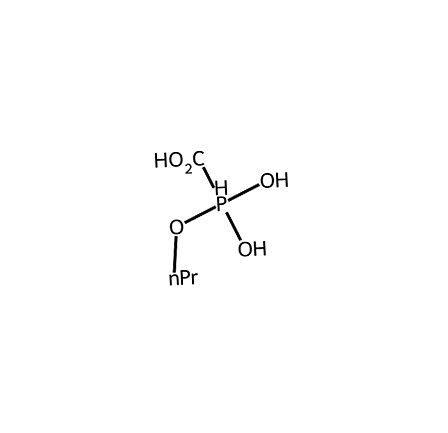 CCCO[PH](O)(O)C(=O)O